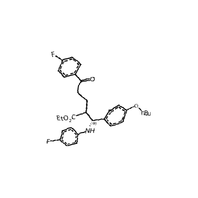 CCCCOc1ccc([C@H](Nc2ccc(F)cc2)C(CCC(=O)c2ccc(F)cc2)C(=O)OCC)cc1